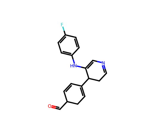 O=CC1C=CC(C2CC=NC=C2Nc2ccc(F)cc2)=CC1